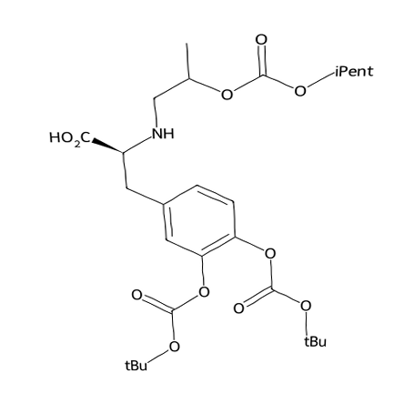 CCCC(C)OC(=O)OC(C)CN[C@@H](Cc1ccc(OC(=O)OC(C)(C)C)c(OC(=O)OC(C)(C)C)c1)C(=O)O